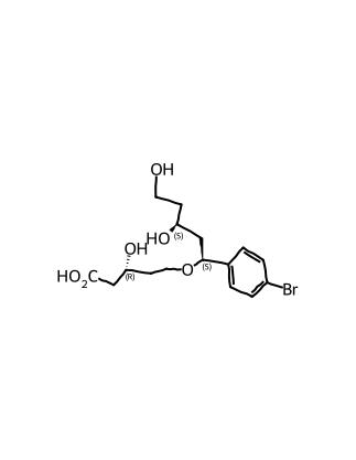 O=C(O)C[C@H](O)CCO[C@@H](C[C@@H](O)CCO)c1ccc(Br)cc1